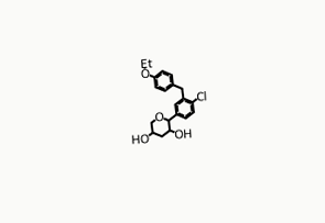 CCOc1ccc(Cc2cc(C3OCC(O)CC3O)ccc2Cl)cc1